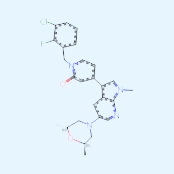 C[C@@H]1CN(c2cnc3c(c2)c(-c2ccn(Cc4cccc(Cl)c4F)c(=O)c2)cn3C)C[C@@H](C)O1